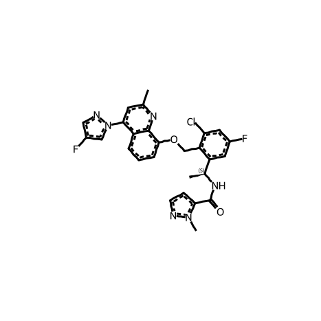 Cc1cc(-n2cc(F)cn2)c2cccc(OCc3c(Cl)cc(F)cc3[C@H](C)NC(=O)c3ccnn3C)c2n1